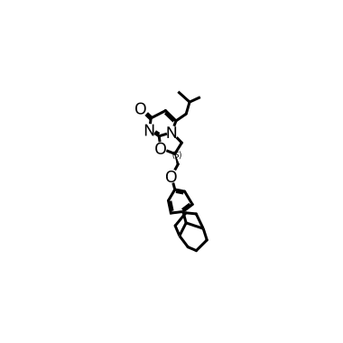 CC(C)Cc1cc(=O)nc2n1C[C@@H](COc1ccc(C3C4CCCC3CCC4)cc1)O2